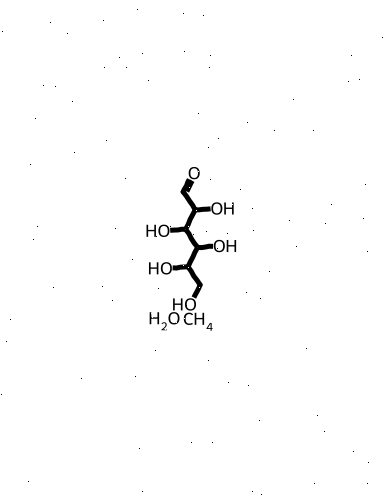 C.O.O=CC(O)C(O)C(O)C(O)CO